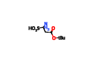 CC(C)(C)OC(=O)CC(N)S(=O)(=O)O